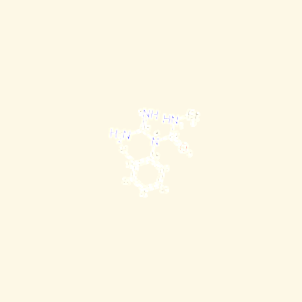 CCNC(=O)N(C(=N)N)c1ccccc1C